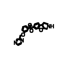 O=S(=O)(c1cccc(OCc2cnccn2)c1)c1ccc2c(c1)OC1CNCCC21